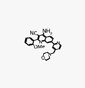 COc1ccccc1-c1nc2cc(-c3cc(CN4CCOCC4)ccn3)ccc2c(N)c1C#N